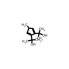 CC1C=C(C(C)(C)O)C(C(C)(C)O)=C1